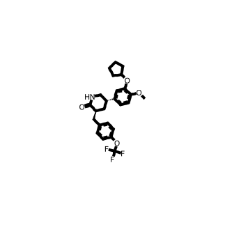 COc1ccc([C@H]2CNC(=O)[C@H](Cc3ccc(OC(F)(F)F)cc3)C2)cc1OC1CCCC1